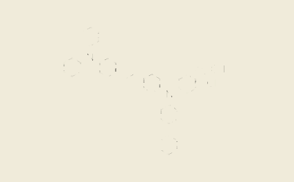 CC(C)(C)c1ccc(N(c2ccc(/C=C/c3ccc(N(c4ccccc4)c4ccccc4)cc3)cc2)c2ccc(-c3ccccc3)cc2)cc1